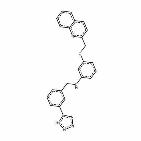 c1cc(NCc2cccc(-c3nnn[nH]3)c2)cc(OCc2ccc3ccccc3n2)c1